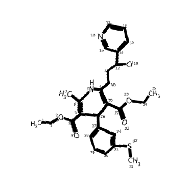 CCOC(=O)C1=C(C)NC(CCC(Cl)c2cccnc2)=C(C(=O)OCC)C1c1cccc(SC)c1